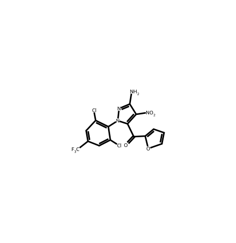 Nc1nn(-c2c(Cl)cc(C(F)(F)F)cc2Cl)c(C(=O)c2ccco2)c1[N+](=O)[O-]